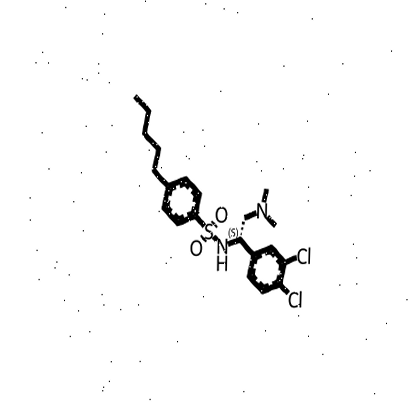 CCCCCc1ccc(S(=O)(=O)N[C@H](CN(C)C)c2ccc(Cl)c(Cl)c2)cc1